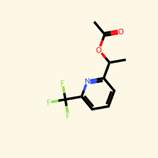 CC(=O)OC(C)c1cccc(C(F)(F)F)n1